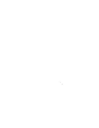 NC(=O)CC(=O)c1cccs1